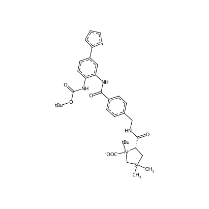 CC(C)(C)OC(=O)Nc1ccc(-c2cccs2)cc1NC(=O)c1ccc(CNC(=O)[C@@H]2C[Si](C)(C)C[N+]2(C(=O)[O-])C(C)(C)C)cc1